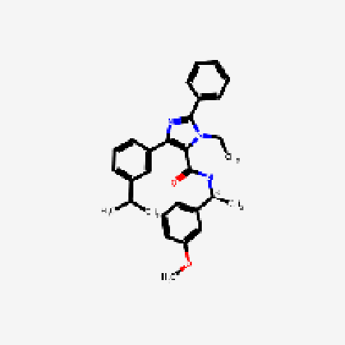 CCn1c(-c2ccccc2)nc(-c2cccc(C(C)C)c2)c1C(=O)N[C@@H](C)c1cccc(OC)c1